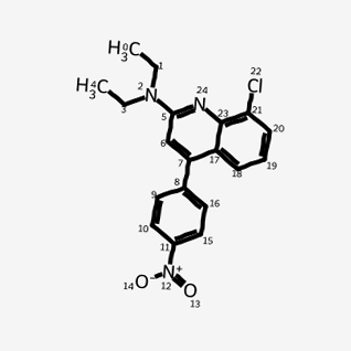 CCN(CC)c1cc(-c2ccc([N+](=O)[O-])cc2)c2cccc(Cl)c2n1